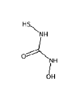 O=C(NO)NS